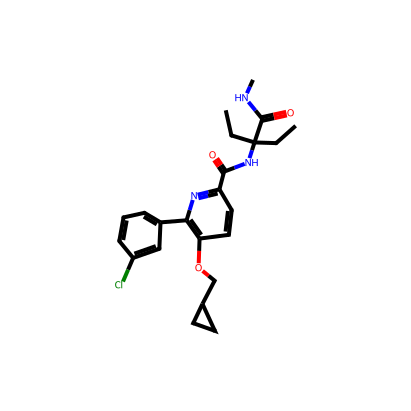 CCC(CC)(NC(=O)c1ccc(OCC2CC2)c(-c2cccc(Cl)c2)n1)C(=O)NC